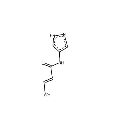 CCCC=CC(=O)Nc1cn[nH]c1